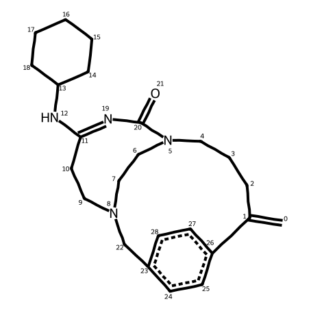 C=C1CCCN2CCN(CC/C(NC3CCCCC3)=N\C2=O)Cc2ccc1cc2